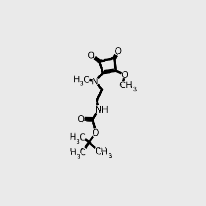 COc1c(N(C)CCNC(=O)OC(C)(C)C)c(=O)c1=O